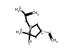 C=C[C@H]1CN(CC(=C)C)C(C)(CC)C1